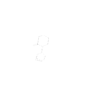 O=C1COCCN1c1conn1